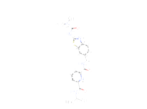 CC(C)NC(=O)c1cccc(C(=O)NCc2ccc3nc(NC(=O)N(C)C)sc3c2)n1